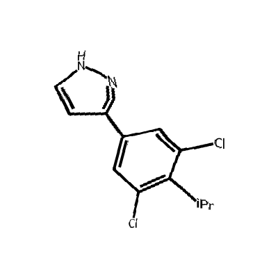 CC(C)c1c(Cl)cc(-c2cc[nH]n2)cc1Cl